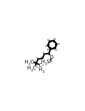 CC(C)(C)CCCC(O[SiH3])c1ccccc1